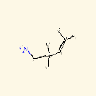 CC(C)=CC(C)(C)CN